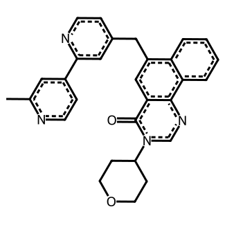 Cc1cc(-c2cc(Cc3cc4c(=O)n(C5CCOCC5)cnc4c4ccccc34)ccn2)ccn1